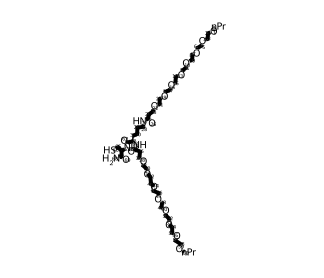 CCCOCCOCCOCCOCCOCCOCCOCCOCCC(=O)NCCCC[C@@H](NC(=O)CCOCCOCCOCCOCCOCCOCCOCCOCCC)C(=O)NC(CS)C(N)=O